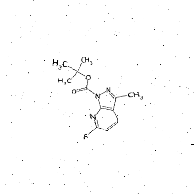 Cc1nn(C(=O)OC(C)(C)C)c2nc(F)ccc12